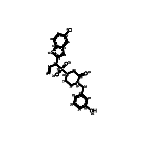 C=CC(c1cc2cc(Cl)ccc2s1)S(=O)(=O)N1CCN(Cc2cccc(O)c2)C(=O)C1